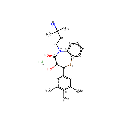 COc1cc(C2Sc3ccccc3N(CCC(C)(C)N)C(=O)C2O)cc(OC)c1OC.Cl